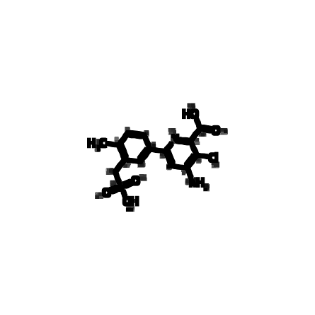 Cc1ccc(-c2cc(N)c(Cl)c(C(=O)O)n2)cc1CS(=O)(=O)O